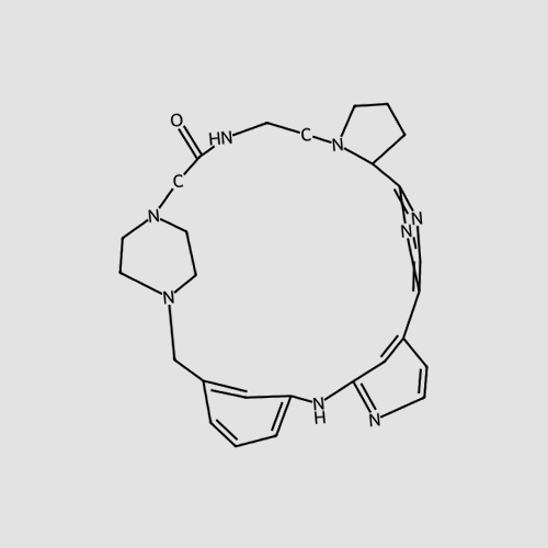 O=C1CN2CCN(CC2)Cc2cccc(c2)Nc2cc(ccn2)-c2cnc(nc2)C2CCCN2CCN1